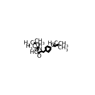 CC(C)(C)COc1ccc(CC(NC(=O)OC(C)(C)C)C(=O)O)cc1